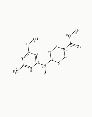 CN(c1cc(CO)cc(C(F)(F)F)n1)C1CCN(C(=O)OC(C)(C)C)CC1